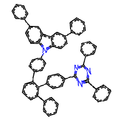 c1ccc(-c2ccc3c(c2)c2cc(-c4ccccc4)ccc2n3-c2ccc(-c3cccc(-c4ccccc4)c3-c3ccc(-c4nc(-c5ccccc5)nc(-c5ccccc5)n4)cc3)cc2)cc1